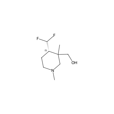 CN1CC[C@H](C(F)F)C(C)(CO)C1